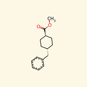 COC(=O)[C@H]1CC[C@H](Cc2ccccc2)CC1